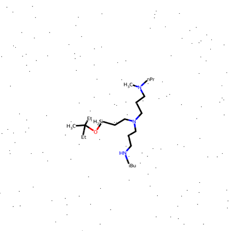 CCCN(C)CCCN(CCCNC(C)CC)CC[SiH2]OC(C)(CC)CC